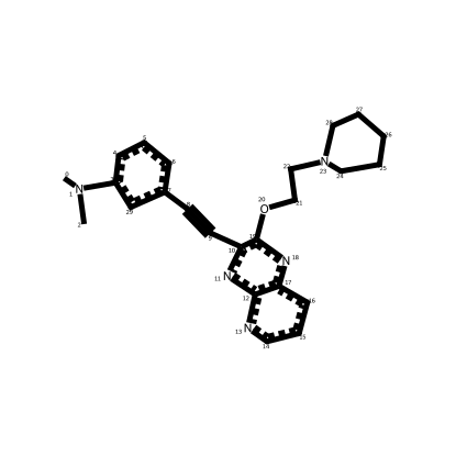 CN(C)c1cccc(C#Cc2nc3ncccc3nc2OCCN2CCCCC2)c1